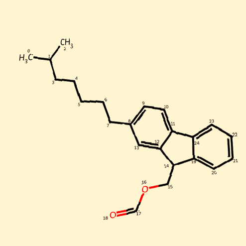 CC(C)CCCCCc1ccc2c(c1)C(CO[C]=O)c1ccccc1-2